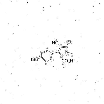 CCc1c(C#N)c(-c2ccc(C(C)(C)C)cc2)c(C(=O)O)n1C